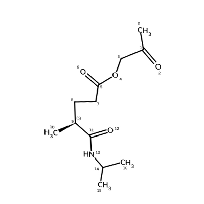 CC(=O)COC(=O)CC[C@H](C)C(=O)NC(C)C